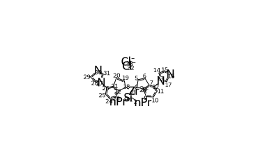 CCC[Si](CCC)=[Zr+2]([CH]1C=Cc2c1cccc2-n1ccnc1)[CH]1C=Cc2c1cccc2-n1ccnc1.[Cl-].[Cl-]